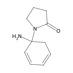 NC1(N2CCCC2=O)C=CC=CC1